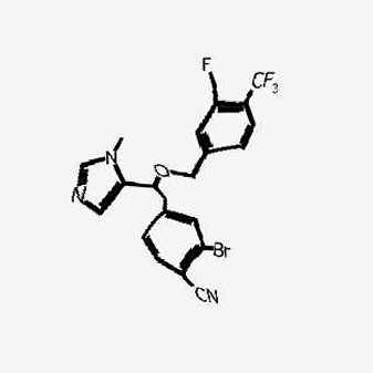 Cn1cncc1C(OCc1ccc(C(F)(F)F)c(F)c1)c1ccc(C#N)c(Br)c1